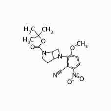 COc1ccc([N+](=O)[O-])c(C#N)c1N1CC2C1CCN2C(=O)OC(C)(C)C